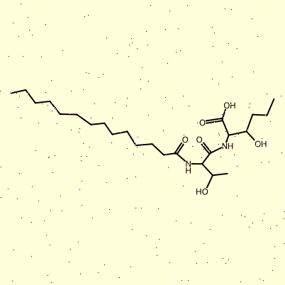 CCCCCCCCCCCCCC(=O)NC(C(=O)NC(C(=O)O)C(O)CCC)C(C)O